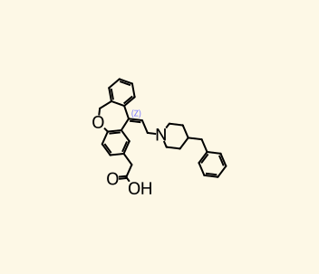 O=C(O)Cc1ccc2c(c1)/C(=C\CN1CCC(Cc3ccccc3)CC1)c1ccccc1CO2